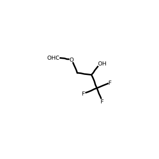 O=COCC(O)C(F)(F)F